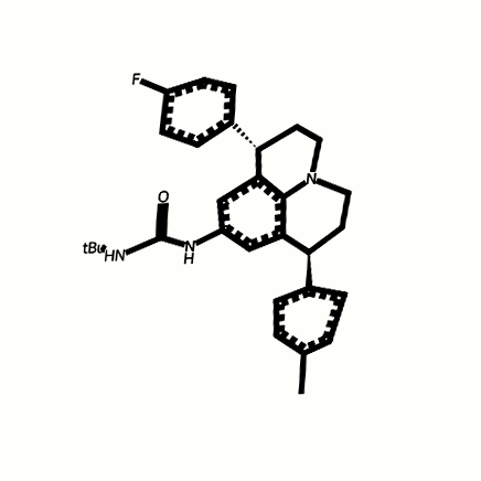 Cc1ccc([C@@H]2CCN3CC[C@@H](c4ccc(F)cc4)c4cc(NC(=O)NC(C)(C)C)cc2c43)cc1